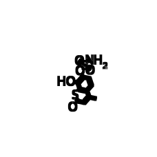 Cc1cc(=O)sc2c(O)c(OS(N)(=O)=O)ccc12